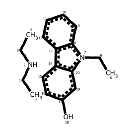 CCNCC.CCn1c2ccccc2c2ccc(O)cc21